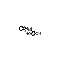 Oc1ccc(O)c(/C=N/Nc2nc3ccccc3s2)c1